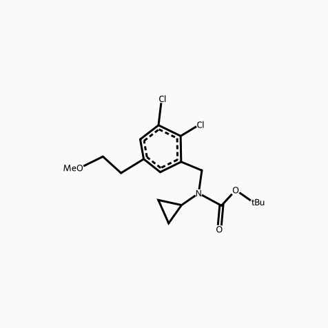 COCCc1cc(Cl)c(Cl)c(CN(C(=O)OC(C)(C)C)C2CC2)c1